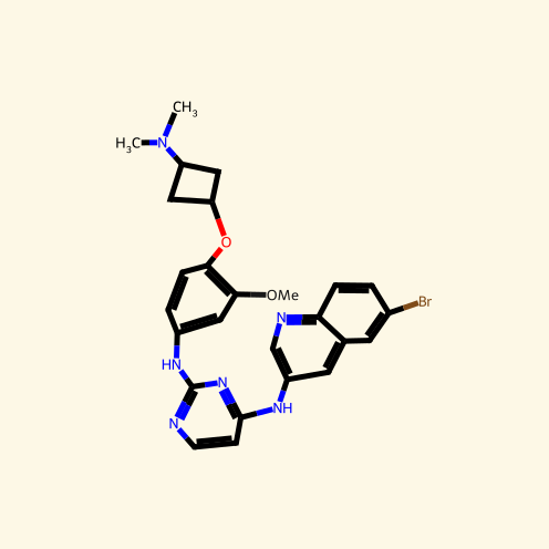 COc1cc(Nc2nccc(Nc3cnc4ccc(Br)cc4c3)n2)ccc1OC1CC(N(C)C)C1